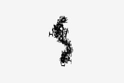 N=C(/C(C(N)=O)=C1/NCC[C@@H](C2CCC(N3CCN(CC4CCN(C(=O)c5cccc(N6CCC(=O)NC6=O)c5)CC4)CC3)CC2)N1)c1ccc(Oc2ccccc2)cc1